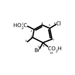 CC1C(C(=O)O)=CC(Cl)=CC1(Br)C(=O)O